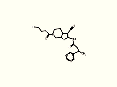 CC(CC(=O)NC1=C(C#N)C2CCN(C(=O)OCCO)CC2S1)c1cccnc1